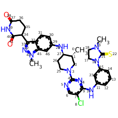 C[C@@H]1CN(c2ncc(Cl)c(Nc3cccc(N4CCN(C)C4=S)c3)n2)CC[C@H]1Nc1ccc2c(C3CCC(=O)NC3=O)nn(C)c2c1